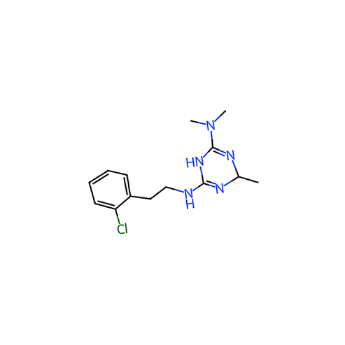 CC1N=C(NCCc2ccccc2Cl)NC(N(C)C)=N1